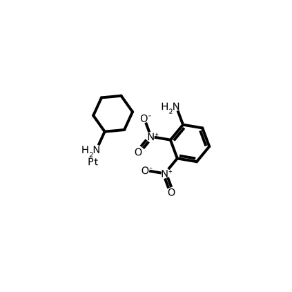 NC1CCCCC1.Nc1cccc([N+](=O)[O-])c1[N+](=O)[O-].[Pt]